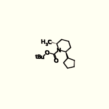 C[C@@H]1CCC[C@@H](C2CCCC2)N1C(=O)OC(C)(C)C